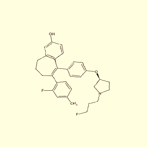 Cc1ccc(C2=C(c3ccc(O[C@H]4CCN(CCCF)C4)cc3)c3ccc(O)cc3CCC2)c(F)c1